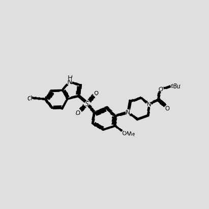 COc1ccc(S(=O)(=O)c2c[nH]c3cc(Cl)ccc23)cc1N1CCN(C(=O)OC(C)(C)C)CC1